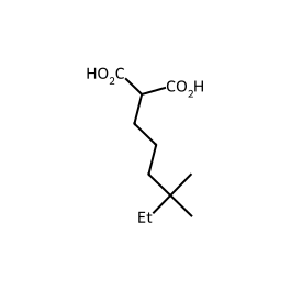 CCC(C)(C)CCCC(C(=O)O)C(=O)O